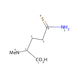 CNC(CCC(N)=S)C(=O)O